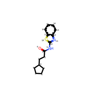 O=C(CCC1CCCC1)Nc1nc2ccccc2s1